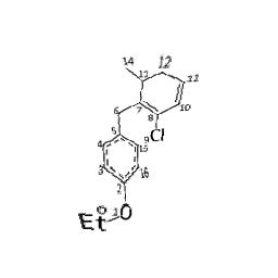 CCOc1ccc(CC2=C(Cl)C=CCC2C)cc1